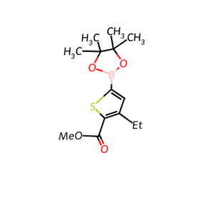 CCc1cc(B2OC(C)(C)C(C)(C)O2)sc1C(=O)OC